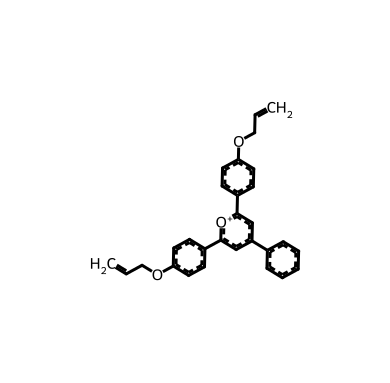 C=CCOc1ccc(-c2cc(-c3ccccc3)cc(-c3ccc(OCC=C)cc3)[o+]2)cc1